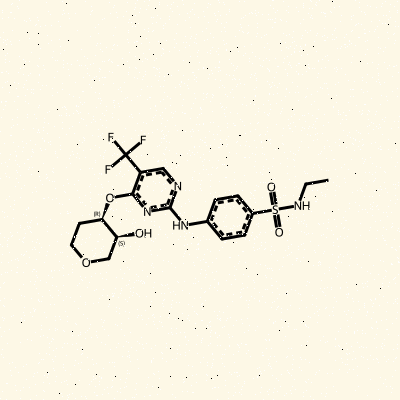 CCNS(=O)(=O)c1ccc(Nc2ncc(C(F)(F)F)c(O[C@@H]3CCOC[C@@H]3O)n2)cc1